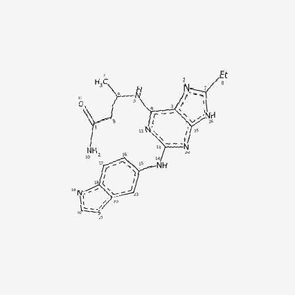 CCc1nc2c(NC(C)CC(N)=O)nc(Nc3ccc4ncsc4c3)nc2[nH]1